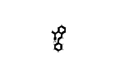 C=C(C#N)c1ccccc1/C=C/c1ccccc1